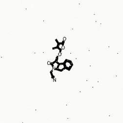 CC1=C(C)C(O/C=C2/C(=O)N(CC#N)C3Cc4ccccc4C23)OC1=O